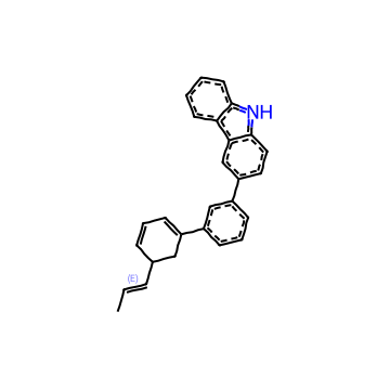 C/C=C/C1C=CC=C(c2cccc(-c3ccc4[nH]c5ccccc5c4c3)c2)C1